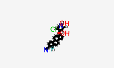 CC1C=C(C[C@]2(O)CCC3C4CCc5c(ccc(C#N)c5F)C4CC[C@@]32C)C(Cl)=CN1O